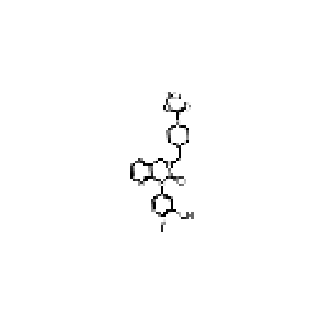 CC(C)(C)OC(=O)N1CCC(CN2Cc3cccnc3N(c3ccc(F)c(C#N)c3)C2=O)CC1